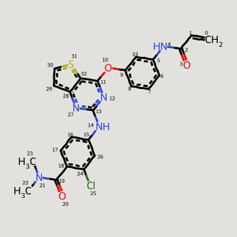 C=CC(=O)Nc1cccc(Oc2nc(Nc3ccc(C(=O)N(C)C)c(Cl)c3)nc3ccsc23)c1